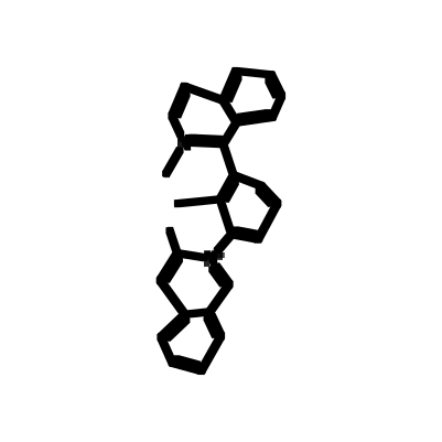 Cc1c(-c2c3ccccc3cc[n+]2C)cccc1-[n+]1cc2ccccc2cc1C